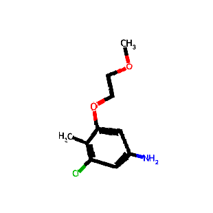 COCCOc1cc(N)cc(Cl)c1C